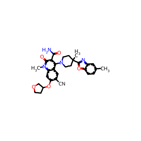 Cc1ccc2oc(C3(C)CCN(c4c(C(N)=O)c(=O)n(C)c5cc(OC6CCOC6)c(C#N)cc45)CC3)nc2c1